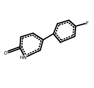 O=c1ccc(-c2ccc(F)cc2)c[nH]1